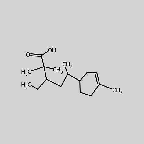 CCC(CC(C)C1CC=C(C)CC1)C(C)(C)C(=O)O